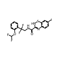 O=C(NCC(F)(F)c1ccccc1OC(F)F)C1=Nc2ccc(I)cc2SN1